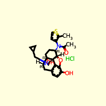 CC(=O)N(c1ccsc1C)[C@@H]1CC[C@@]2(O)[C@H]3Cc4ccc(O)c5c4[C@@]2(CCN3CC2CC2)[C@H]1O5.Cl